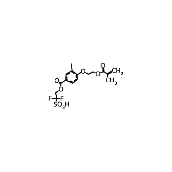 C=C(C)C(=O)OCCOc1ccc(C(=O)OCC(F)(F)S(=O)(=O)O)cc1I